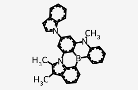 Cc1c(C)n2c3c(cccc13)B1c3ccccc3N(C)c3cc(-n4ccc5ccccc54)cc-2c31